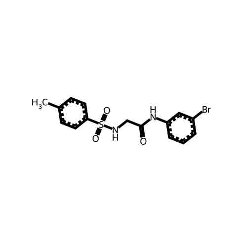 Cc1ccc(S(=O)(=O)NCC(=O)Nc2cccc(Br)c2)cc1